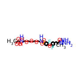 C/C(=C\c1cc(F)c(Oc2ccc(S(=O)(=O)NCCOCCOCCOCCNC(=O)[C@H](O)[C@H](C)O)cc2)c(F)c1)C(=O)N=C(N)N